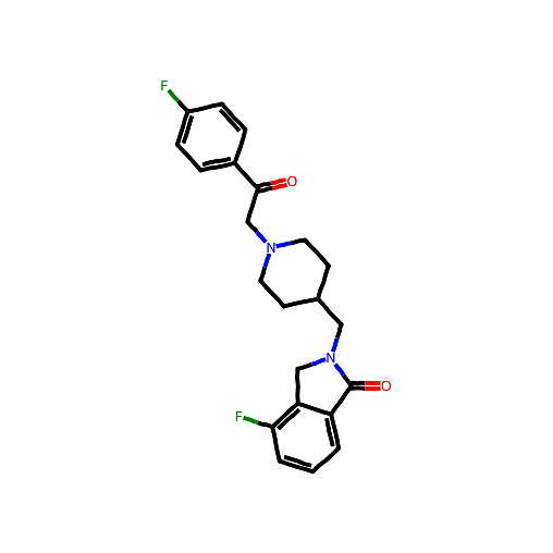 O=C(CN1CCC(CN2Cc3c(F)cccc3C2=O)CC1)c1ccc(F)cc1